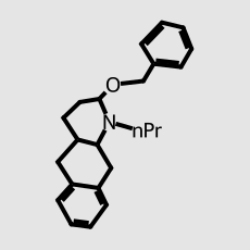 CCCN1C(OCc2ccccc2)CCC2Cc3ccccc3CC21